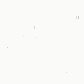 O=C(O)C(O)C(O)C(=O)O.O=C(c1cncc(Br)c1)c1cncc(Br)c1